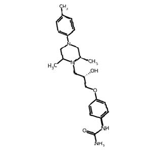 Cc1ccc(N2CC(C)N(C[C@H](O)COc3ccc(NC(N)=O)cc3)[C@H](C)C2)cc1